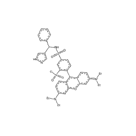 CCN(CC)c1ccc2c(-c3ccc(S(=O)(=O)NC(c4ccccc4)c4cn[nH]c4)cc3S(=O)(=O)[O-])c3ccc(=[N+](CC)CC)cc-3oc2c1